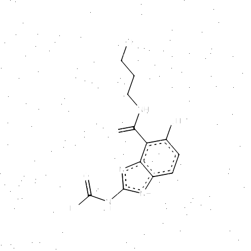 CCCCNC(=O)c1c(C)ccc2[nH]c(NC(=O)O)nc12